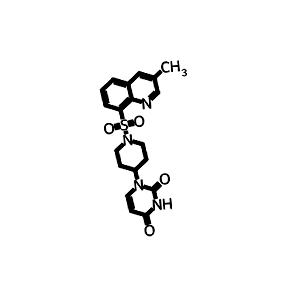 Cc1cnc2c(S(=O)(=O)N3CCC(n4ccc(=O)[nH]c4=O)CC3)cccc2c1